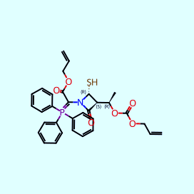 C=CCOC(=O)O[C@H](C)[C@H]1C(=O)N(C(C(=O)OCC=C)=P(c2ccccc2)(c2ccccc2)c2ccccc2)[C@@H]1S